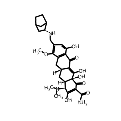 COc1c(CN[C@@H]2CC3CCC2C3)cc(O)c2c1C[C@H]1C[C@H]3[C@H](N(C)C)C(O)=C(C(N)=O)C(=O)[C@@]3(O)C(O)=C1C2=O